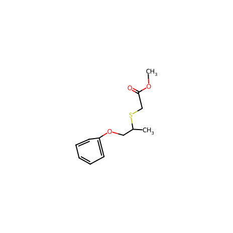 COC(=O)CSC(C)COc1ccccc1